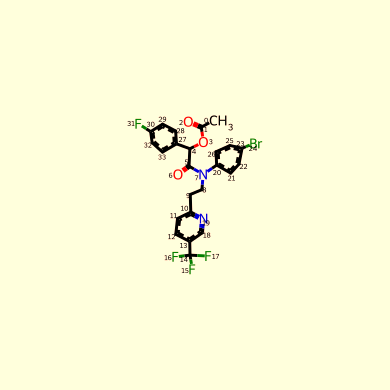 CC(=O)OC(C(=O)N(CCc1ccc(C(F)(F)F)cn1)c1ccc(Br)cc1)c1ccc(F)cc1